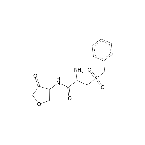 NC(CS(=O)(=O)Cc1ccccc1)C(=O)NC1COCC1=O